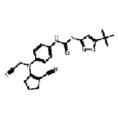 CC(C)(C)c1cc(NC(=O)Nc2ccc(N(CC#N)C3=C(C#N)CCC3)cc2)no1